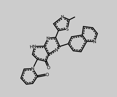 Cc1ncc(-c2nc3[nH]cc(-n4ccccc4=O)c(=O)c3nc2-c2ccc3ncccc3c2)s1